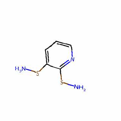 NSc1cccnc1SN